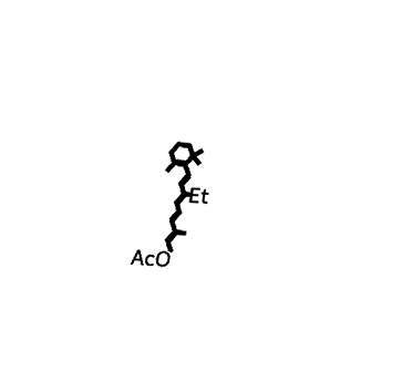 CCC(/C=C/C1=C(C)CCCC1(C)C)=C\C=C\C(C)=C\COC(C)=O